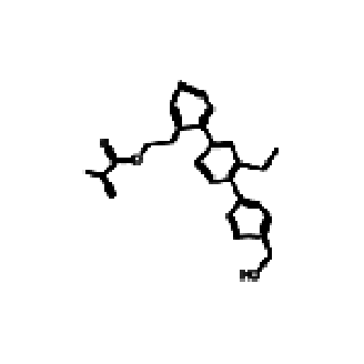 C=C(C)C(=O)OCCc1ccccc1-c1ccc(-c2ccc(CO)cc2)c(CC)c1